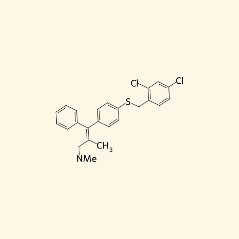 CNCC(C)=C(c1ccccc1)c1ccc(SCc2ccc(Cl)cc2Cl)cc1